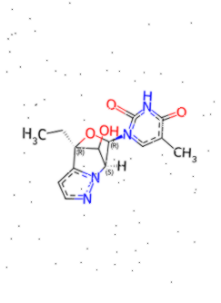 CC[C@]12O[C@@H](n3cc(C)c(=O)[nH]c3=O)[C@H](C1O)n1nccc12